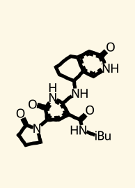 CCC(C)NC(=O)c1cc(N2CCCC2=O)c(=O)[nH]c1NC1CCCc2cc(=O)[nH]cc21